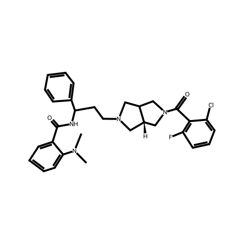 CN(C)c1ccccc1C(=O)NC(CCN1CC2CN(C(=O)c3c(F)cccc3Cl)C[C@@H]2C1)c1ccccc1